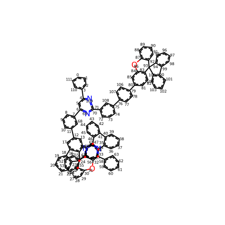 c1ccc(-c2cc(-c3cccc(-c4ccc5c(c4)-c4ccccc4C54c5ccccc5Oc5cc(-c6ccccc6-c6ccccc6-c6nc(-c7ccccc7)cc(-c7ccccc7)n6)ccc54)c3)nc(-c3cccc(-c4ccc(-c5ccc6c(c5)Oc5ccccc5C65c6ccccc6-c6ccccc65)cc4)c3)n2)cc1